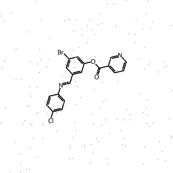 O=C(Oc1cc(Br)cc(C=Nc2ccc(Cl)cc2)c1)c1cccnc1